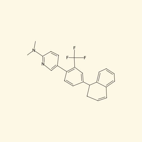 CN(C)c1ccc(-c2ccc(C3CC=Cc4ccccc43)cc2C(F)(F)F)cn1